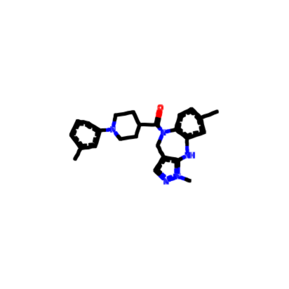 Cc1cccc(N2CCC(C(=O)N3Cc4cnn(C)c4Nc4cc(C)ccc43)CC2)c1